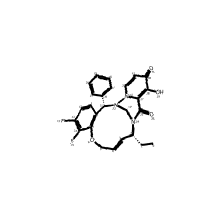 CC[C@@H]1/C=C/COc2c(ccc(F)c2F)[C@H](c2ccccc2)N2CN1C(=O)c1c(O)c(=O)ccn12